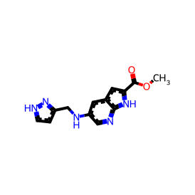 COC(=O)c1cc2cc(NCc3cc[nH]n3)cnc2[nH]1